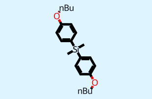 CCCCOc1ccc([Si](C)(C)c2ccc(OCCCC)cc2)cc1